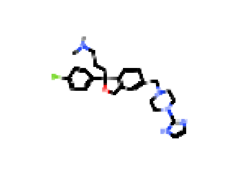 CN(C)CCCC1(c2ccc(F)cc2)OCc2cc(CN3CCN(c4ncc[nH]4)CC3)ccc21